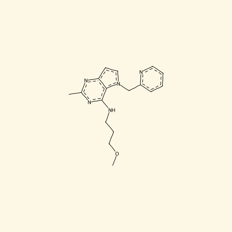 COCCCNc1nc(C)nc2ccn(Cc3ccccn3)c12